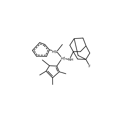 CC1=C(C)C(C)[C]([Hf]([NH]C23CC4CC(CC(F)(C4)C2)C3)[SiH](C)c2ccccc2)=C1C